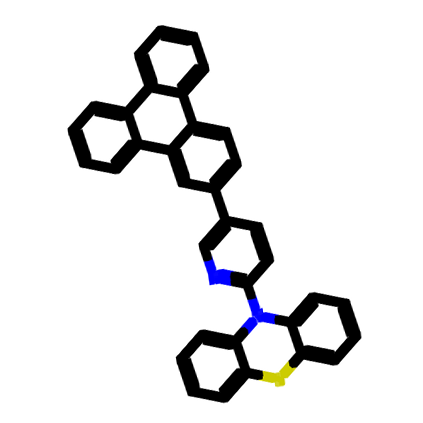 c1ccc2c(c1)Sc1ccccc1N2c1ccc(-c2ccc3c4ccccc4c4ccccc4c3c2)cn1